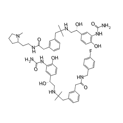 CC(C)(Cc1cccc(CC(=O)NCc2ccc(F)cc2)c1)NC[C@H](O)c1ccc(O)c(NC(N)=O)c1.CN1CCCC1CCNC(=O)Cc1cccc(CC(C)(C)NC[C@H](O)c2ccc(O)c(NC(N)=O)c2)c1